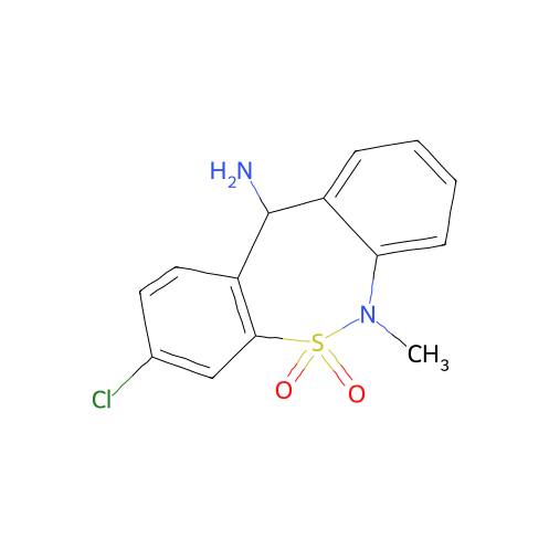 CN1c2ccccc2C(N)c2ccc(Cl)cc2S1(=O)=O